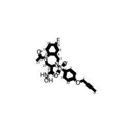 CC#CCOc1ccc(S(=O)(=O)N2Cc3cc(F)ccc3N(C(C)=O)CC2C(=O)NO)cc1